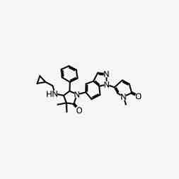 Cn1cc(-n2ncc3cc(N4C(=O)C(C)(C)C(NCC5CC5)C4c4ccccc4)ccc32)ccc1=O